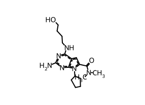 CN(C)C(=O)c1cc2c(NCCCCO)nc(N)nc2n1C1CCCC1